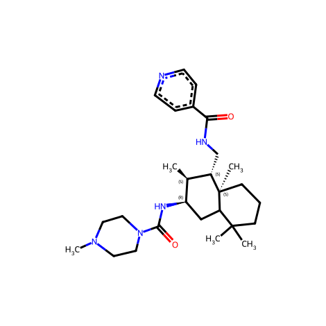 C[C@@H]1[C@H](NC(=O)N2CCN(C)CC2)CC2C(C)(C)CCC[C@]2(C)[C@H]1CNC(=O)c1ccncc1